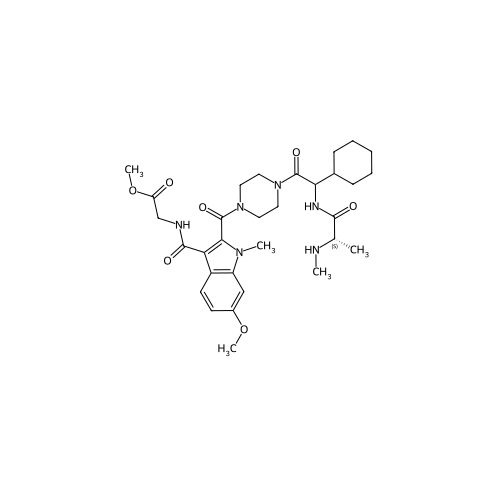 CN[C@@H](C)C(=O)NC(C(=O)N1CCN(C(=O)c2c(C(=O)NCC(=O)OC)c3ccc(OC)cc3n2C)CC1)C1CCCCC1